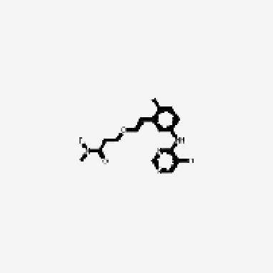 Cc1ccc(Nc2ncncc2Cl)cc1/C=C/OCCC(=O)N(C)F